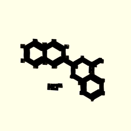 CNCC(Cc1ccccc1)c1ccc2ccccc2c1.Cl